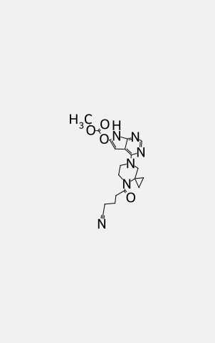 COC(=O)Oc1cc2c(N3CCN(C(=O)CCCC#N)C4(CC4)C3)ncnc2[nH]1